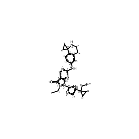 CCn1c(=O)c2cnc(Nc3ccc4c(c3)CCNC43CC3)nc2n1-c1nc(C2(CF)CC2)co1